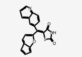 O=C1NC(=O)C(=C(c2ccc3ncccc3c2)c2ccc3cccc-3o2)S1